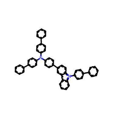 c1ccc(-c2ccc(N(c3ccc(-c4ccccc4)cc3)c3ccc(-c4ccc5c(c4)c4ccccc4n5-c4ccc(-c5ccccc5)cc4)cc3)cc2)cc1